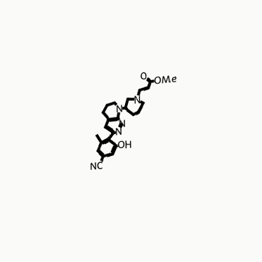 COC(=O)CCN1CCCC(N2CCCc3cc(-c4c(C)cc(C#N)cc4O)nnc32)C1